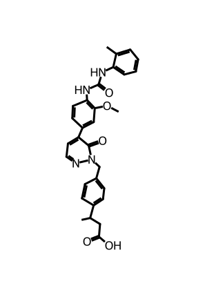 COc1cc(-c2ccnn(Cc3ccc(C(C)CC(=O)O)cc3)c2=O)ccc1NC(=O)Nc1ccccc1C